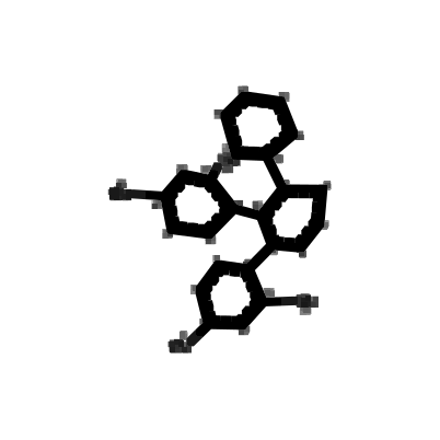 CC(C)(C)c1ccc(-c2cccc(-c3[c]cccc3)c2-c2ccc(C(C)(C)C)cc2C(C)(C)C)c(C(C)(C)C)c1